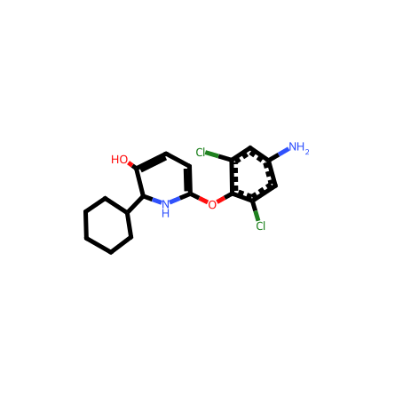 Nc1cc(Cl)c(OC2=CC=C(O)C(C3CCCCC3)N2)c(Cl)c1